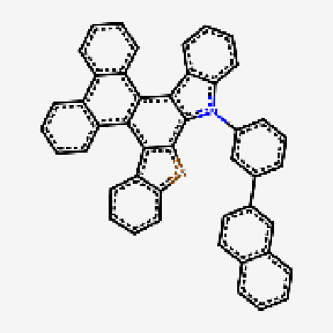 c1cc(-c2ccc3ccccc3c2)cc(-n2c3ccccc3c3c4c5ccccc5c5ccccc5c4c4c5ccccc5sc4c32)c1